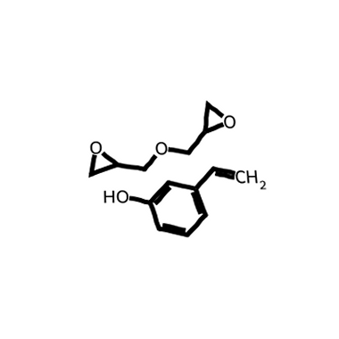 C(OCC1CO1)C1CO1.C=Cc1cccc(O)c1